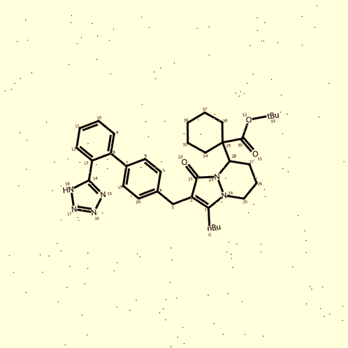 CCCCc1c(Cc2ccc(-c3ccccc3-c3nnn[nH]3)cc2)c(=O)n2n1CCCC2C1(C(=O)OC(C)(C)C)CCCCC1